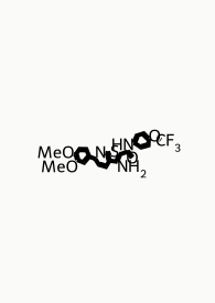 COc1ccc(-c2ccc3c(N)c(C(=O)Nc4ccc(OC(F)(F)F)cc4)sc3n2)cc1OC